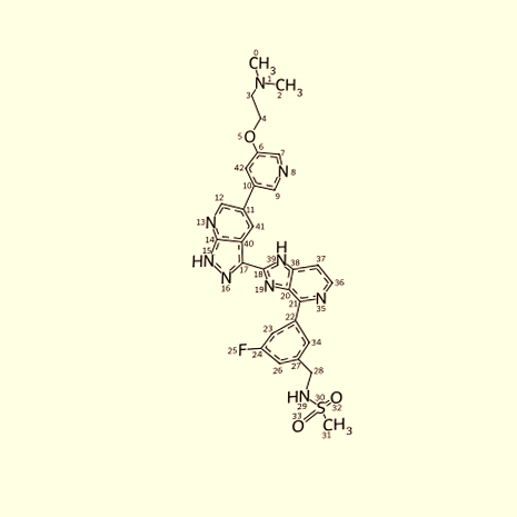 CN(C)CCOc1cncc(-c2cnc3[nH]nc(-c4nc5c(-c6cc(F)cc(CNS(C)(=O)=O)c6)nccc5[nH]4)c3c2)c1